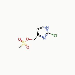 CS(=O)(=O)OCc1ccnc(Cl)n1